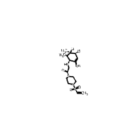 C=CS(=O)(=O)N1CCN(C(=O)CN[C@@H]2C(O)=C[C@H](Cl)[C@@](C)(Cl)C2C)CC1